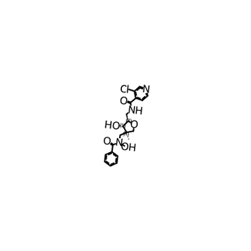 C[C@@]1(CN(O)C(=O)c2ccccc2)CO[C@H](CNC(=O)c2ccncc2Cl)[C@H]1O